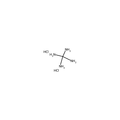 Cl.Cl.NC(N)(N)N